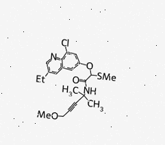 CCc1cnc2c(Cl)cc(OC(SC)C(=O)NC(C)(C)C#CCOC)cc2c1